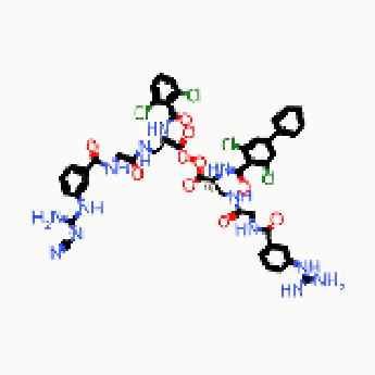 N#C/N=C(\N)Nc1cccc(C(=O)NCC(=O)NC[C@@H](NC(=O)c2c(Cl)cccc2Cl)C(=O)OOC(=O)[C@H](CNC(=O)CNC(=O)c2cccc(NC(=N)N)c2)NC(=O)c2c(Cl)cc(-c3ccccc3)cc2Cl)c1